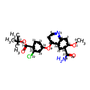 COc1cc2nccc(Oc3ccc(C(=O)OC(C)(C)C)c(Cl)c3)c2cc1C(N)=O